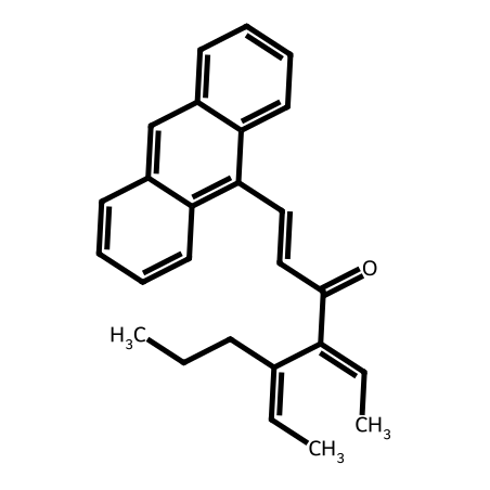 C/C=C(CCC)\C(=C/C)C(=O)/C=C/c1c2ccccc2cc2ccccc12